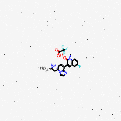 Cn1c(=O)c(-c2ccc(CC(N)C(=O)O)n3ccnc23)cc2cc(F)ccc21.O=C(O)C(F)(F)F